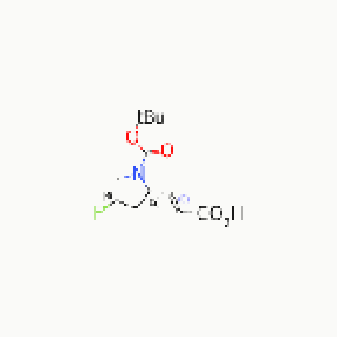 CC(C)(C)OC(=O)N1C[C@H](F)C[C@H]1/C=C/C(=O)O